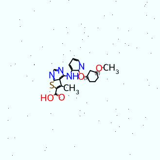 CO[C@@H]1CCC[C@H](Oc2ncccc2Nc2ncnc3sc(C(=O)O)c(C)c23)C1